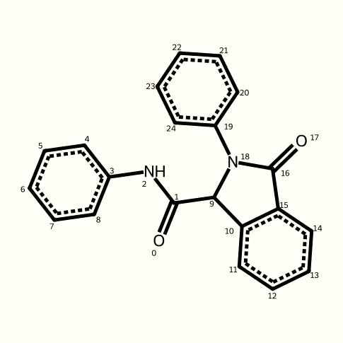 O=C(Nc1ccccc1)C1c2ccccc2C(=O)N1c1ccccc1